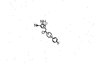 N#Cc1cn(CC(=O)N2CCN(c3ccc(F)cc3)CC2)nc1N